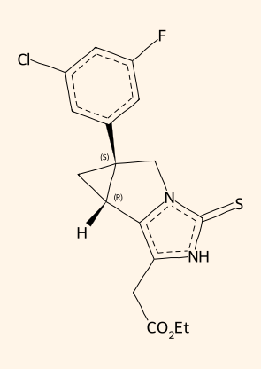 CCOC(=O)Cc1[nH]c(=S)n2c1[C@@H]1C[C@]1(c1cc(F)cc(Cl)c1)C2